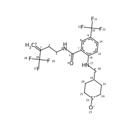 C=C(CCNC(=O)c1cc(C(F)(F)F)ccc1NSC1CC[S+]([O-])CC1)C(F)(F)F